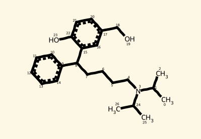 CC(C)N(CCCCC(c1ccccc1)c1cc(CO)ccc1O)C(C)C